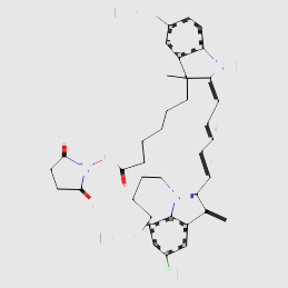 C=C1C(/C=C/C=C/C=C2/Nc3ccc(S(=O)(=O)O)cc3C2(C)CCCCCC(=O)ON2C(=O)CCC2=O)=[N+](CCCCS(=O)(=O)O)c2ccc(Cl)cc21